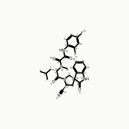 CC(C)C[C@@H](C(=O)N1C[C@]2(C[C@H]1C#N)C(=O)Nc1ccccc12)N(C)C(=O)C(=O)Nc1ccc(F)cc1F